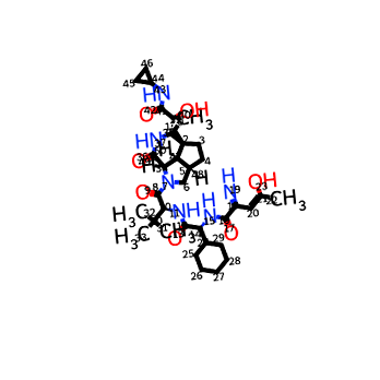 CCC12CC[C@H]3CN(C(=O)[C@@H](NC(=O)[C@@H](NC(=O)C(=N)/C=C(/C)O)C4CCCCC4)C(C)(C)C)[C@H](C(=O)N[C@@H]1C(O)C(=O)NC1CC1)[C@H]32